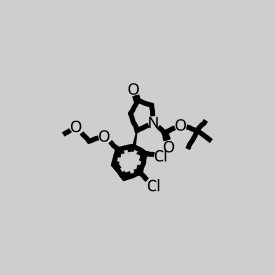 COCOc1ccc(Cl)c(Cl)c1[C@H]1CC(=O)CN1C(=O)OC(C)(C)C